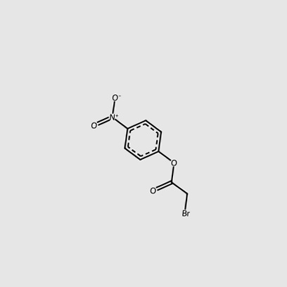 O=C(CBr)Oc1ccc([N+](=O)[O-])cc1